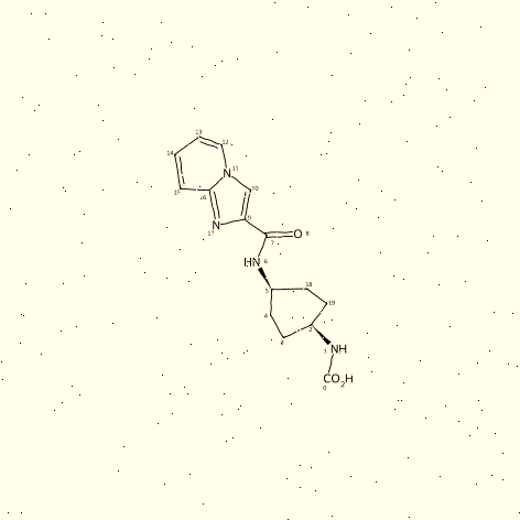 O=C(O)N[C@H]1CC[C@@H](NC(=O)c2cn3ccccc3n2)CC1